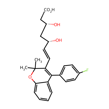 CC1(C)Oc2ccccc2C(c2ccc(F)cc2)=C1C=C[C@@H](O)C[C@@H](O)CC(=O)O